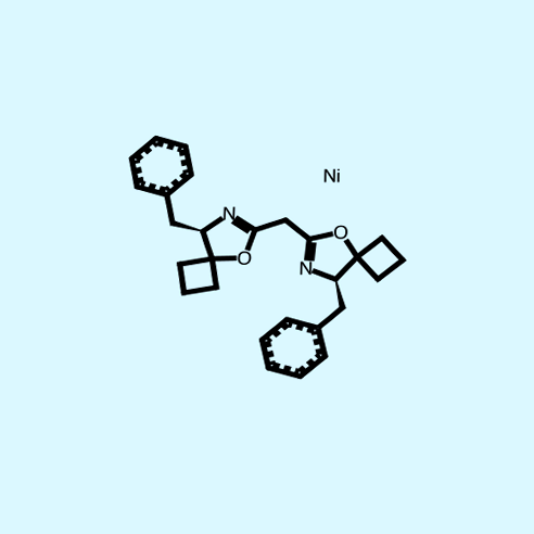 [Ni].c1ccc(C[C@H]2N=C(CC3=N[C@H](Cc4ccccc4)C4(CCC4)O3)OC23CCC3)cc1